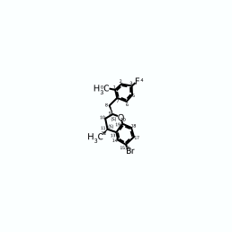 Cc1cc(F)ccc1C[C@@H]1C[C@H](C)c2cc(Br)ccc2O1